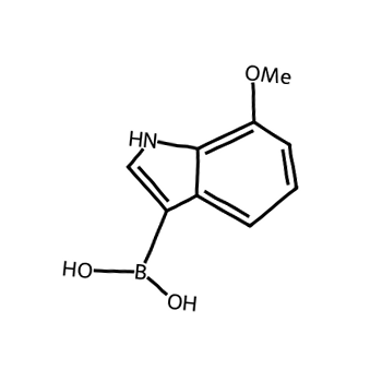 COc1cccc2c(B(O)O)c[nH]c12